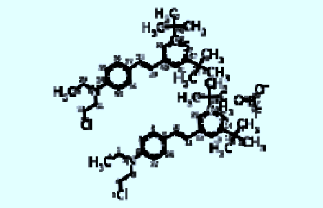 CCN(CCCl)c1ccc(C=Cc2cc(C(C)(C)C)s[c+](C(C)(C)C)c2)cc1.CCN(CCCl)c1ccc(C=Cc2cc(C(C)(C)C)s[c+](C(C)(C)C)c2)cc1.[O-]B([O-])F